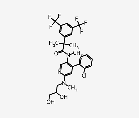 CN(CC(O)CO)c1cc(-c2ccccc2Cl)c(N(C)C(=O)C(C)(C)c2cc(C(F)(F)F)cc(C(F)(F)F)c2)cn1